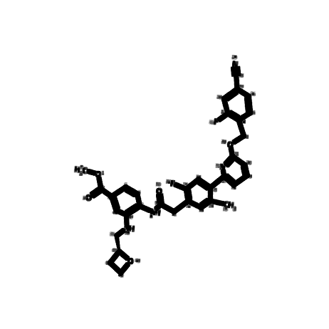 COC(=O)c1ccc(NC(=O)Cc2cc(C)c(-c3cccc(OCc4ccc(C#N)cc4F)n3)cc2F)c(NC[C@@H]2CCO2)c1